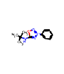 CC(C)(C)Nc1n[n+](-c2ccccc2)no1